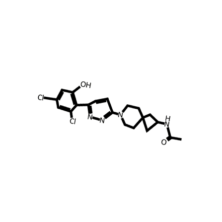 CC(=O)NC1CC2(CCN(c3ccc(-c4c(O)cc(Cl)cc4Cl)nn3)CC2)C1